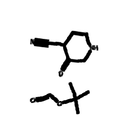 CC(C)(C)OC=O.N#CC1CCNCC1=O